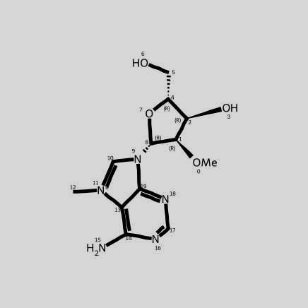 CO[C@@H]1[C@H](O)[C@@H](CO)O[C@H]1n1c[n+](C)c2c(N)ncnc21